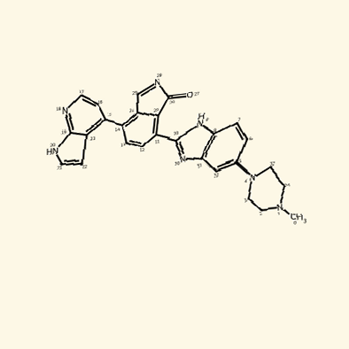 CN1CCN(c2ccc3[nH]c(-c4ccc(-c5ccnc6[nH]ccc56)c5c4C(=O)N=C5)nc3c2)CC1